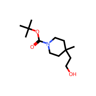 CC1(CCO)CCN(C(=O)OC(C)(C)C)CC1